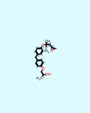 CC(O)COc1ccc(Cc2ccc(OC(C)(C)CC3CO3)cc2)cc1